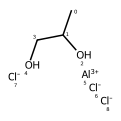 CC(O)CO.[Al+3].[Cl-].[Cl-].[Cl-]